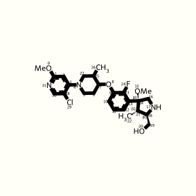 COc1cc(N2CCC(Oc3cccc([C@@]4(OC)CN[C@@H](CO)[C@@H]4C)c3F)C(C)C2)c(Cl)cn1